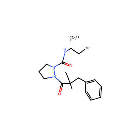 CC(C)C[C@H](NC(=O)N1CCCN1C(=O)C(C)(C)Cc1ccccc1)C(=O)O